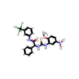 COc1ccc([N+](=O)[O-])cc1NC(=S)NC(C(=O)Nc1cccc(C(F)(F)F)c1)c1ccccc1